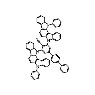 N#Cc1c(-n2c3ccccc3c3c2ccc2c4ccccc4n(-c4ccccc4)c23)cc(-c2ccc(-c3ccccc3)cc2)cc1-n1c2ccccc2c2ccc3c(c4ccccc4n3-c3ccccc3)c21